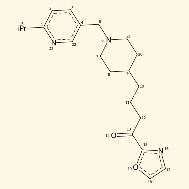 CC(C)c1ccc(CN2CCC(CCCC(=O)c3ncco3)CC2)cn1